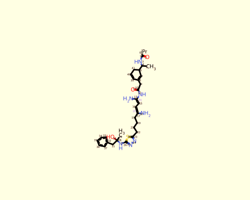 CC(C)C(=O)NC(C)C1C=C(CC(=O)N/C(N)=C/C=C(\N)CCCCc2nnc(NC(C)(O)Cc3ccccc3)s2)C=CC1